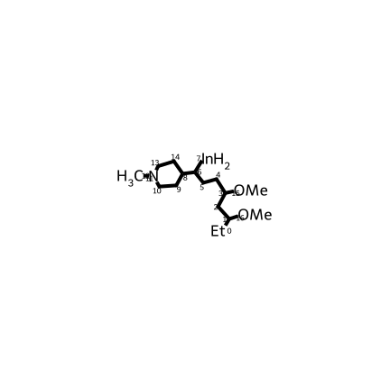 CCC(CC(CC[CH]([InH2])C1CCN(C)CC1)OC)OC